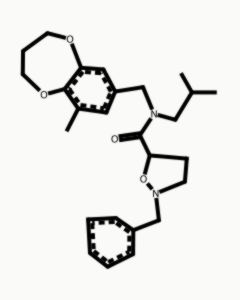 Cc1cc(CN(CC(C)C)C(=O)C2CCN(Cc3ccccc3)O2)cc2c1OCCCO2